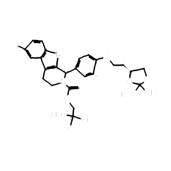 CC(C)(C)COC(=O)N1CCc2c([nH]c3ccc(Cl)cc23)C1c1ccc(OCC[C@H]2COC(C)(C)O2)cc1